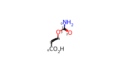 NC(=O)OC=CC(=O)O